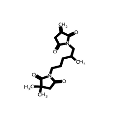 C=C1CC(=O)N(CC(C)CCCN2C(=O)CC(C)(C)C2=O)C1=O